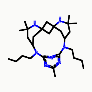 CCCCN1c2nc(C)nc(n2)N(CCCC)C2CC(C)(C)NC3(C2)CC2(CC1CC(C)(C)N2)C3